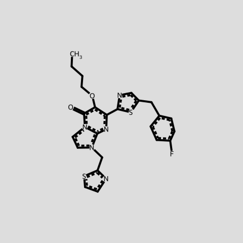 CCCCOc1c(-c2ncc(Cc3ccc(F)cc3)s2)nc2n(Cc3nccs3)ccn2c1=O